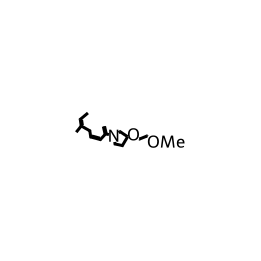 C=C(/C=C\C/C(C)=C\C)N1CCC(OCCOC)C1